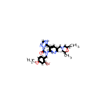 COc1ccc(Cn2c(=O)n3ncnc3c3cc(CN4CC(C)OC(C)C4)cnc32)c(Br)c1